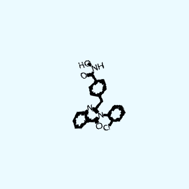 O=C(NO)c1ccc(Cc2nc3ccccc3c(=O)n2-c2ccccc2Cl)cc1